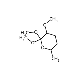 COC1CCC(C)OC1(OC)OC